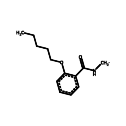 [CH2]NC(=O)c1ccccc1OCCCCC